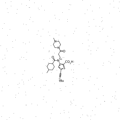 CC1CCC(C(=O)N(c2cc(C#CC(C)(C)C)sc2C(=O)O)[C@@H](C)CC(=O)N2CCN(C)CC2)CC1